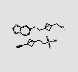 N#CC12CC(CCS(=O)(=O)O)(C1)C2.NCC12CC(COc3ccn4ccnc4c3)(C1)C2